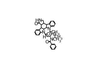 CO[C@@H]1[C@H](N(C)C(=O)c2ccccc2)C[C@H]2O[C@]1(C)N1c3ccccc3C3C4CNC(=O)C4C4c5ccccc5N2C4C31